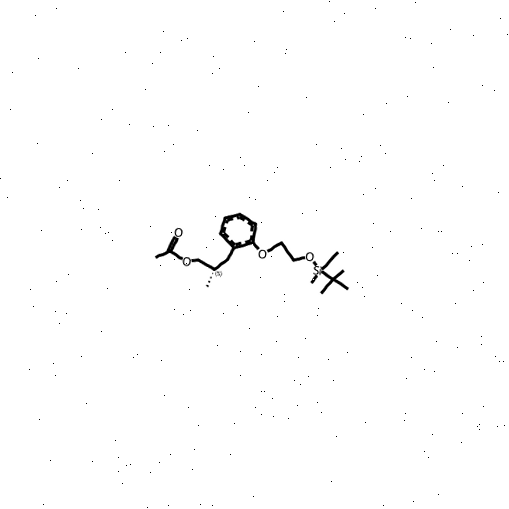 CC(=O)OC[C@@H](C)Cc1ccccc1OCCO[Si](C)(C)C(C)(C)C